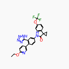 CCOc1ccc(-c2ccc(NC(=O)C3(c4ccc(OC(F)(F)F)cc4)CC3)cc2-c2nnn[nH]2)cn1